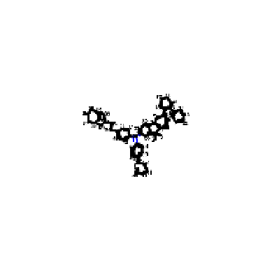 CC1(C)c2ccc(C3=C(c4ccccc4)CCC=C3)cc2-c2ccc(N(c3ccc(CCC4CC5CCCC(C5)C4)cc3)c3ccc(C4CCCCC4)cc3)cc21